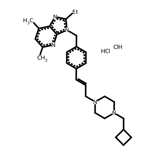 CCc1nc2c(C)cc(C)nc2n1Cc1ccc(/C=C/CN2CCN(CC3CCC3)CC2)cc1.Cl.Cl